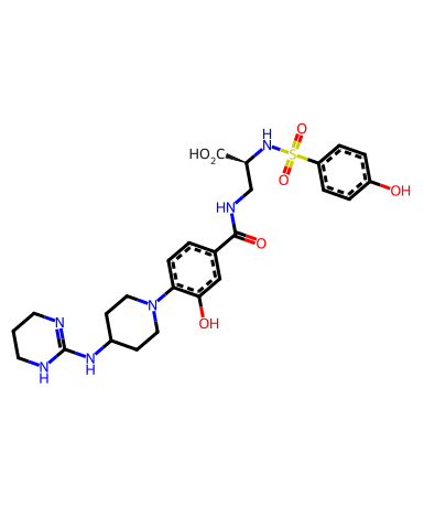 O=C(NC[C@H](NS(=O)(=O)c1ccc(O)cc1)C(=O)O)c1ccc(N2CCC(NC3=NCCCN3)CC2)c(O)c1